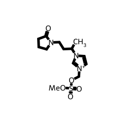 COS(=O)(=O)OC[n+]1ccn(C(C)CCN2CCCC2=O)c1